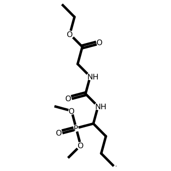 [CH2]CCC(NC(=O)NCC(=O)OCC)P(=O)(OC)OC